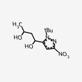 CC(O)CC(O)c1cc([N+](=O)[O-])nn1C(C)(C)C